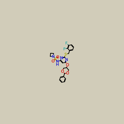 O=S(=O)(Nc1cc(OC2COC(c3ccccc3)OC2)nc(SCc2cccc(F)c2F)n1)N1CCC1